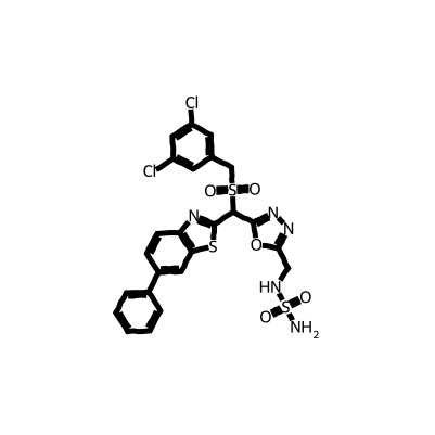 NS(=O)(=O)NCc1nnc(C(c2nc3ccc(-c4ccccc4)cc3s2)S(=O)(=O)Cc2cc(Cl)cc(Cl)c2)o1